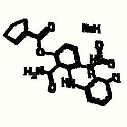 NC(=O)c1c(OC(=O)C2=CCCC2)ccc(N[SH](=O)=O)c1Nc1cccc(Cl)c1.[NaH]